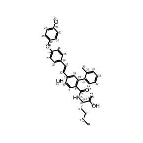 CSCC[C@H](NC(=O)c1ccc(C=Cc2ccc(Oc3ccc(Cl)cc3)cc2)cc1-c1ccccc1C)C(=O)O.[LiH]